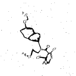 O=C(c1c(Cl)ncnc1Cl)N(CCO)c1ccc2c(c1)CCC(OCC(F)(F)F)=C2